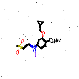 COc1ccc(N(I)CCS(C)(=O)=O)cc1OCC1CC1